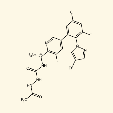 CCc1cnn(-c2c(F)cc(Cl)cc2-c2cnc([C@@H](C)NC(=O)NNC(=O)C(F)(F)F)c(F)c2)c1